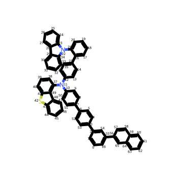 c1cc(-c2ccc(-c3ccc(N(c4ccc(-c5ccccc5-n5c6ccccc6c6ccccc65)cc4)c4cccc5sc6ccccc6c45)cc3)cc2)cc(-c2ccc3ccccc3c2)c1